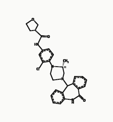 C[C@@H]1CN(C2c3ccccc3NC(=O)c3ccccc32)CCN1c1ccc(NC(=O)C2CCOC2)cc1Cl